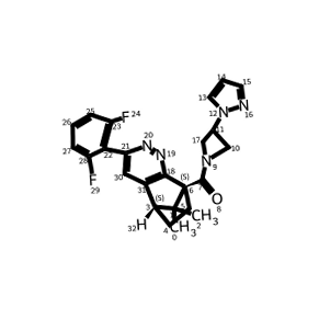 CC1(C)[C@@H]2CC[C@@]1(C(=O)N1CC(n3cccn3)C1)c1nnc(-c3c(F)cccc3F)cc12